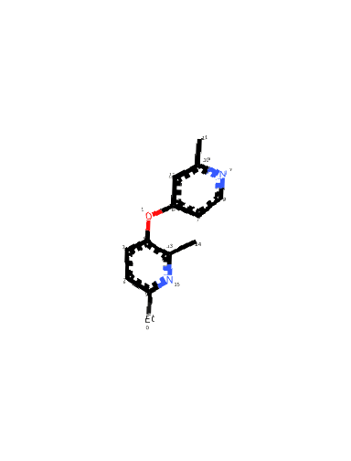 CCc1ccc(Oc2ccnc(C)c2)c(C)n1